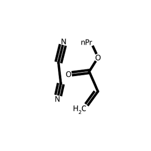 C=CC(=O)OCCC.N#CC#N